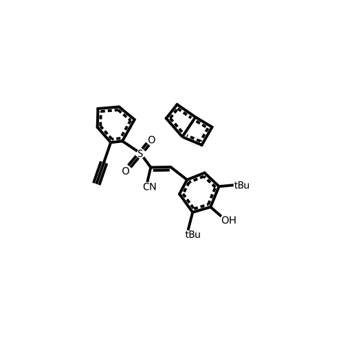 C#Cc1ccccc1S(=O)(=O)C(C#N)=Cc1cc(C(C)(C)C)c(O)c(C(C)(C)C)c1.c1cc2ccc1-2